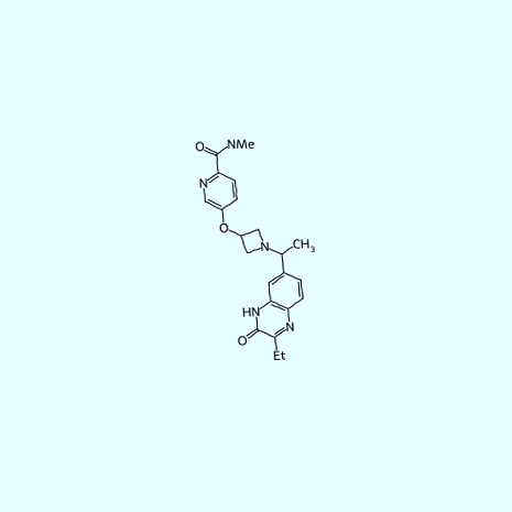 CCc1nc2ccc(C(C)N3CC(Oc4ccc(C(=O)NC)nc4)C3)cc2[nH]c1=O